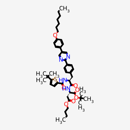 CCCCCCCOc1ccc(-c2cnc(-c3ccc(C[C@H](NC(=O)c4ccc(C(C)(C)C)s4)C(=O)N[C@@H](CC(=O)OCCCC)C(=O)OC(C)(C)C)cc3)nc2)cc1